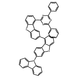 c1ccc(-c2nc(-c3ccccc3)nc(-c3cccc4sc5ccc(-c6cccc7sc8cc(-n9c%10ccccc%10c%10ccccc%109)ccc8c67)cc5c34)n2)cc1